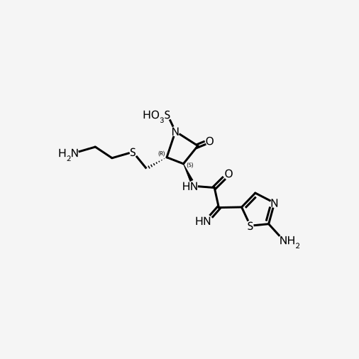 N=C(C(=O)N[C@@H]1C(=O)N(S(=O)(=O)O)[C@H]1CSCCN)c1cnc(N)s1